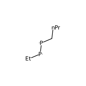 CCCC[P][P]CC